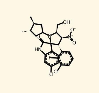 C[C@H]1CC(N2[C@@H](CO)[C@@H]([N+](=O)[O-])[C@H](c3cccc(Cl)c3F)[C@]23C(=O)Nc2cc(Cl)ccc23)C[C@@H]1C